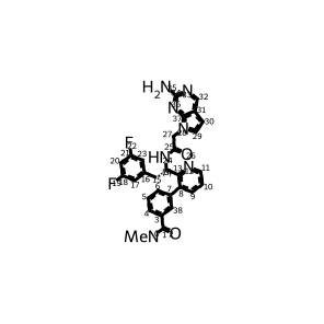 CNC(=O)c1cccc(-c2cccnc2[C@H](Cc2cc(F)cc(F)c2)NC(=O)Cn2ccc3cnc(N)nc32)c1